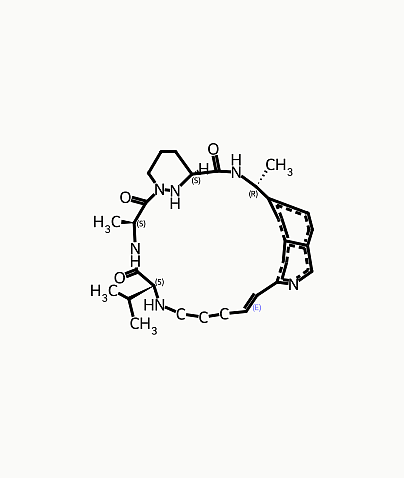 CC(C)[C@@H]1NCCC/C=C/c2cc3cc(ccc3cn2)[C@@H](C)NC(=O)[C@@H]2CCCN(N2)C(=O)[C@H](C)NC1=O